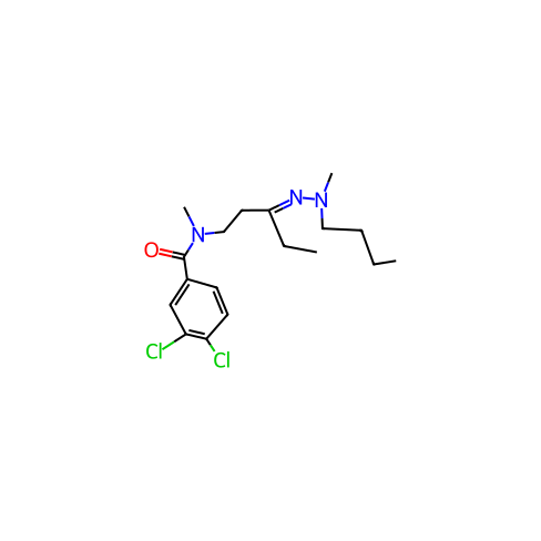 CCCCN(C)/N=C(\CC)CCN(C)C(=O)c1ccc(Cl)c(Cl)c1